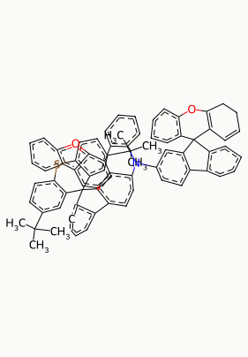 CC(C)(C)c1ccc2c(c1)C1(c3cc(C(C)(C)C)ccc3S2)c2ccccc2-c2ccc(N(c3ccc4c(c3)C3(C5=C(CCC=C5)Oc5ccccc53)c3ccccc3-4)c3ccccc3-c3cccc4c3oc3ccccc34)cc21